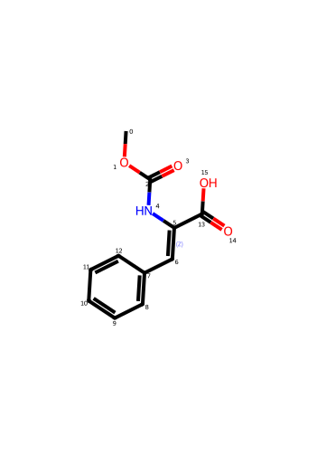 COC(=O)N/C(=C\c1ccccc1)C(=O)O